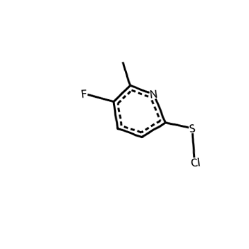 Cc1nc(SCl)ccc1F